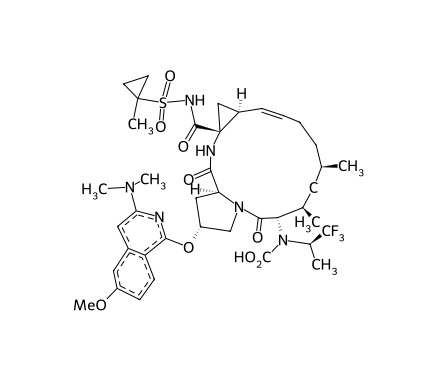 COc1ccc2c(O[C@@H]3C[C@H]4C(=O)N[C@]5(C(=O)NS(=O)(=O)C6(C)CC6)C[C@H]5C=CCC[C@@H](C)C[C@@H](C)[C@H](N(C(=O)O)[C@H](C)C(F)(F)F)C(=O)N4C3)nc(N(C)C)cc2c1